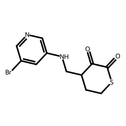 O=C1SCCC(CNc2cncc(Br)c2)C1=O